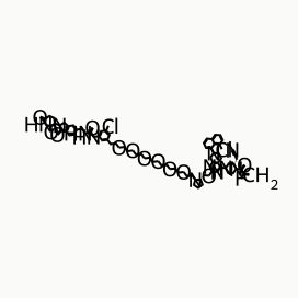 C=C(F)C(=O)N1CCN(c2nc(OC[C@@H]3CCCN3CCOCCOCCOCCOCCOCCOCCc3cc(Cl)cc(NC(=O)NCc4ccc5c(c4)CN(C4CCC(=O)NC4=O)C5=O)c3)nc3c2CCN(c2cccc4cccc(Cl)c24)C3)C[C@@H]1CC#N